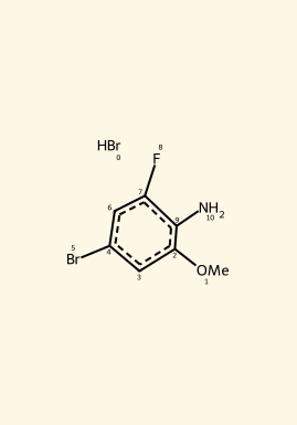 Br.COc1cc(Br)cc(F)c1N